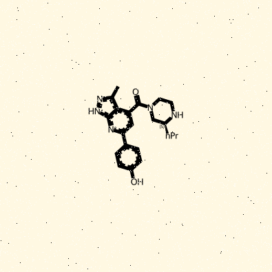 CCC[C@H]1CN(C(=O)c2cc(-c3ccc(O)cc3)nc3[nH]nc(C)c23)CCN1